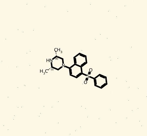 C[C@@H]1CN(c2ccc(S(=O)(=O)c3ccccc3)c3ccccc23)C[C@H](C)N1